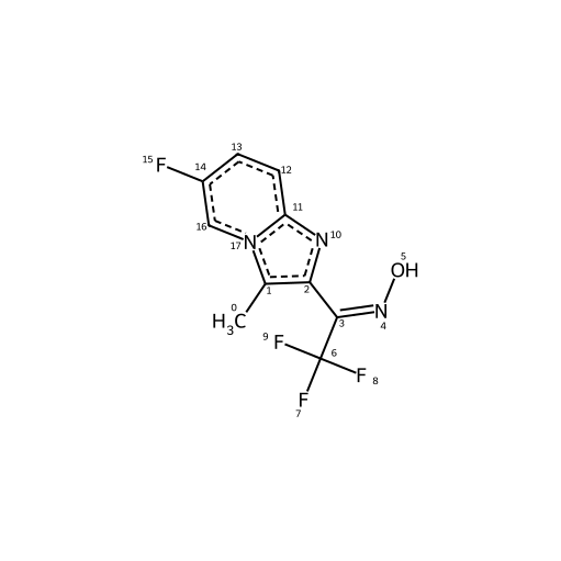 Cc1c(/C(=N\O)C(F)(F)F)nc2ccc(F)cn12